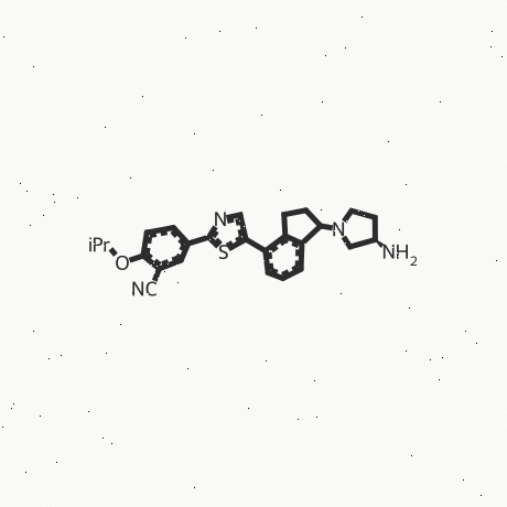 CC(C)Oc1ccc(-c2ncc(-c3cccc4c3CCC4N3CC[C@@H](N)C3)s2)cc1C#N